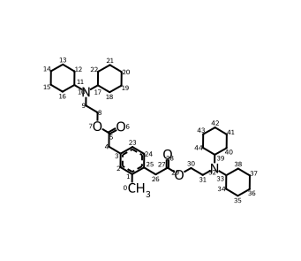 Cc1cc(CC(=O)OCCN(C2CCCCC2)C2CCCCC2)ccc1CC(=O)OCCN(C1CCCCC1)C1CCCCC1